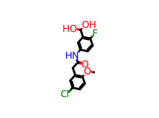 COc1ccc(Cl)cc1CC(=O)Nc1ccc(F)c(C(O)O)c1